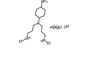 CCNCCCN(CCCNCC)C1CCC(N)CC1.Cl.Cl.Cl.Cl